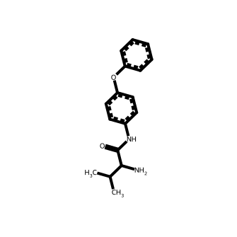 CC(C)C(N)C(=O)Nc1ccc(Oc2ccccc2)cc1